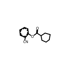 N#Cc1ccccc1OC(=O)C1CCCCC1